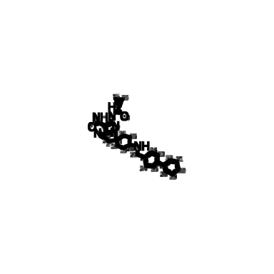 N#CCC1(n2cc(C(N)=O)c(NC(=O)C3CC3)n2)CCC(NCc2ccc(-c3ccccc3)cc2)CC1